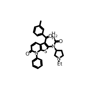 CCN1CCC(N(C(N)=O)c2sc3c(ccc(=O)n3-c3ccccc3)c2C(=O)c2cccc(C)c2)C1